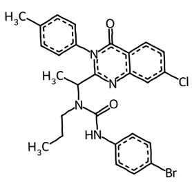 CCCN(C(=O)Nc1ccc(Br)cc1)C(C)c1nc2cc(Cl)ccc2c(=O)n1-c1ccc(C)cc1